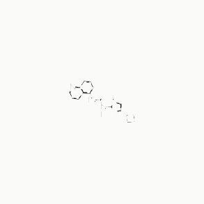 O=C(Nc1ncc(C2CCC2)s1)Nc1cccc2ncccc12